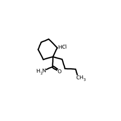 CCCCC1(C(N)=O)CCCCC1.Cl